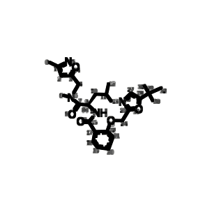 Cc1cc(CN(C)C(=O)[C@@H](CC(C)C)NC(=O)c2ccccc2OCc2ncc(C(C)(C)C)o2)on1